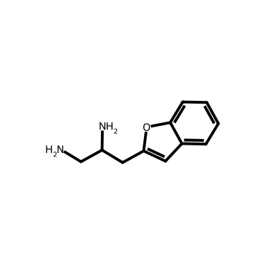 NCC(N)Cc1cc2ccccc2o1